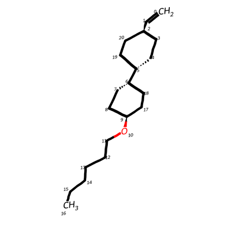 C=C[C@H]1CC[C@H]([C@H]2CC[C@H](OCCCCCC)CC2)CC1